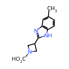 Cc1ccc2[nH]c(C3CN(C(=O)O)C3)nc2c1